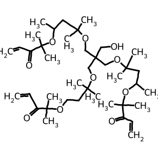 C=CC(=O)C(C)(C)OCCC(C)(C)OCC(CO)(COC(C)(C)CC(C)OC(C)(C)C(=O)C=C)COC(C)(C)CC(C)OC(C)(C)C(=O)C=C